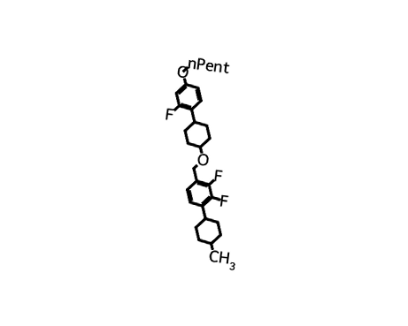 CCCCCOc1ccc(C2CCC(OCc3ccc(C4CCC(C)CC4)c(F)c3F)CC2)c(F)c1